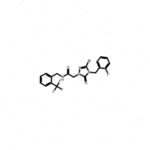 O=C(Cn1nc(Br)n(Cc2ccccc2F)c1=O)NCc1ccccc1C(F)(F)F